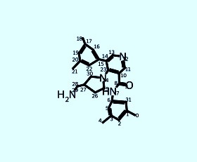 Cc1cc(C)cc(NC(=O)c2cncc(-c3cc(C)cc(C)c3)c2N2CCC(CN)C2)c1